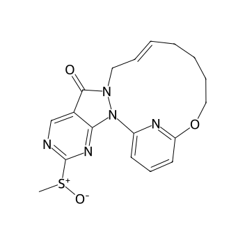 C[S+]([O-])c1ncc2c(=O)n3n(c2n1)-c1cccc(n1)OCCCC/C=C/C3